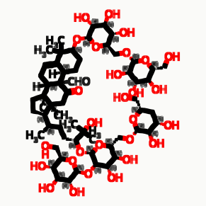 C[C@H](CC[C@@H](O[C@@H]1O[C@H](CO[C@@H]2O[C@H](CO)C[C@H](O)[C@H]2O)[C@@H](O)[C@H](O)[C@H]1O[C@@H]1O[C@H](CO)[C@@H](O)[C@H](O)[C@H]1O)C(C)(C)O)[C@H]1CC[C@@]2(C)[C@@H]3CC=C4[C@@H](CC[C@H](O[C@@H]5O[C@H](CO[C@@H]6O[C@H](CO)[C@@H](O)[C@H](O)[C@H]6O)[C@@H](O)[C@H](O)[C@H]5O)C4(C)C)[C@]3(C=O)C(=O)C[C@]12C